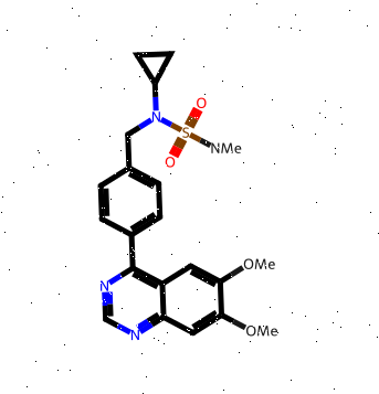 CNS(=O)(=O)N(Cc1ccc(-c2ncnc3cc(OC)c(OC)cc23)cc1)C1CC1